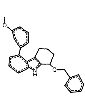 COc1cccc(-c2cccc3[nH]c4c(c23)CCCC4OCc2ccccc2)c1